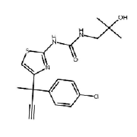 C#CC(C)(c1ccc(Cl)cc1)c1csc(NC(=O)NCC(C)(C)O)n1